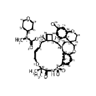 CN(C(=O)O[C@H]1/C=C/COC(C)(C)C(=O)NS(=O)(=O)c2ccc3c(c2)N(C[C@@H]2CC[C@H]21)C[C@@]1(CCOc2cc(Cl)ccc21)CO3)C1CCOCC1